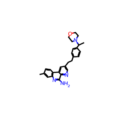 Cc1ccc2c(c1)nc(N)c1ncc(CCc3ccc(C(C)N4CCOCC4)cc3)cc12